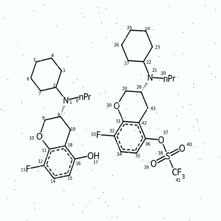 CCCN(C1CCCCC1)[C@H]1COc2c(F)ccc(O)c2C1.CCCN(C1CCCCC1)[C@H]1COc2c(F)ccc(OS(=O)(=O)C(F)(F)F)c2C1